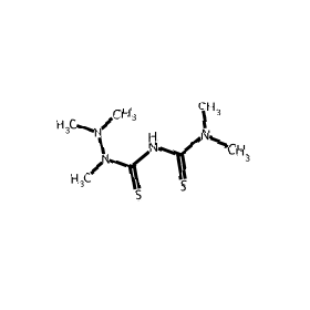 CN(C)C(=S)NC(=S)N(C)N(C)C